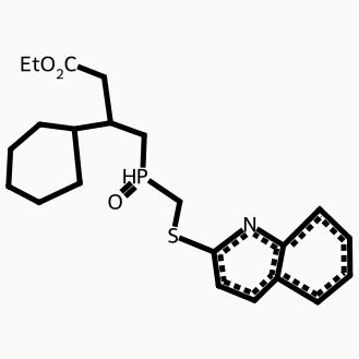 CCOC(=O)CC(C[PH](=O)CSc1ccc2ccccc2n1)C1CCCCC1